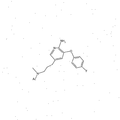 CC(=O)N(C)CCCc1cnc(N)c(Oc2ccc(F)cc2)c1